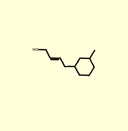 CC1CCCC(CC=CCO)C1